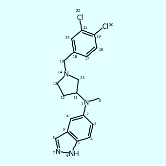 CN(c1ccc2[nH]ncc2c1)C1CCN(Cc2ccc(Cl)c(Cl)c2)C1